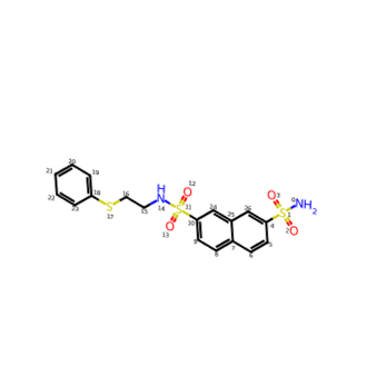 NS(=O)(=O)c1ccc2ccc(S(=O)(=O)NCCSc3ccccc3)cc2c1